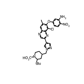 Cc1cc2ncc(-c3cnn(CC4CCN(C(=O)O)C(C(C)(C)C)C4)c3)nc2c(Cl)c1Oc1ccc([N+](=O)[O-])c(N)c1